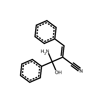 N#CC(=Cc1ccccc1)C(N)(O)c1ccccc1